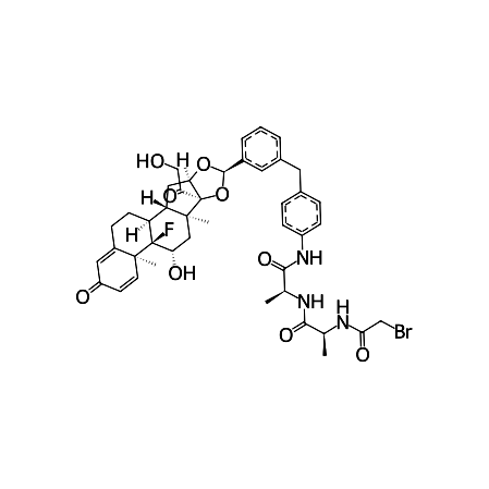 C[C@H](NC(=O)CBr)C(=O)N[C@@H](C)C(=O)Nc1ccc(Cc2cccc([C@@H]3O[C@@H]4C[C@H]5[C@@H]6CCC7=CC(=O)C=C[C@]7(C)[C@@]6(F)[C@@H](O)C[C@]5(C)[C@]4(C(=O)CO)O3)c2)cc1